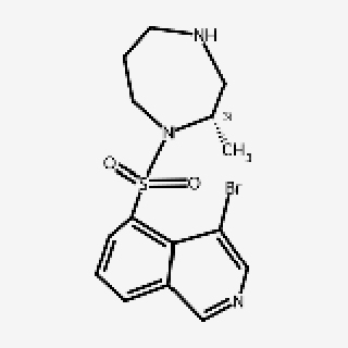 C[C@H]1CNCCCN1S(=O)(=O)c1cccc2cncc(Br)c12